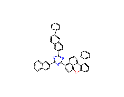 c1ccc(-c2ccc3cc(-c4nc(-c5ccc6ccccc6c5)nc(-c5ccc6c7c(cccc57)-c5c(cccc5-c5ccccc5)O6)n4)ccc3c2)cc1